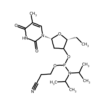 CC[C@H]1O[C@@H](n2cc(C)c(=O)[nH]c2=O)CC1OP(OCCC#N)N(C(C)C)C(C)C